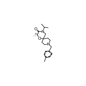 Cc1ccc(CN2CCC3(CC2)CN(C(C)C)C(=O)[C@@H](C)O3)cc1